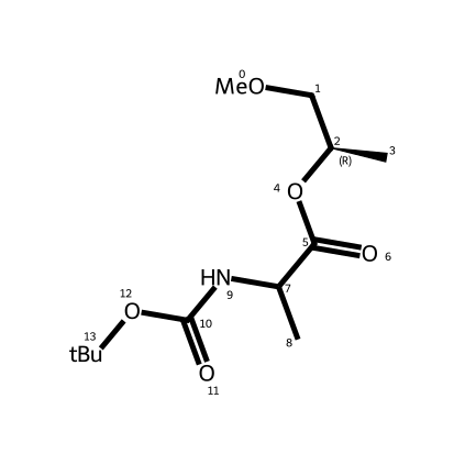 COC[C@@H](C)OC(=O)C(C)NC(=O)OC(C)(C)C